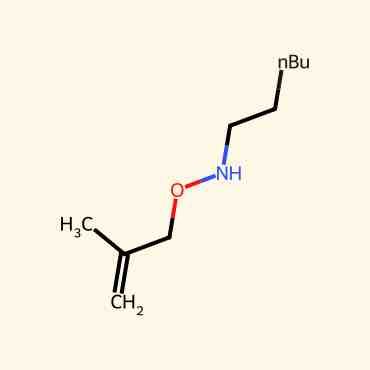 C=C(C)CONCCCCCC